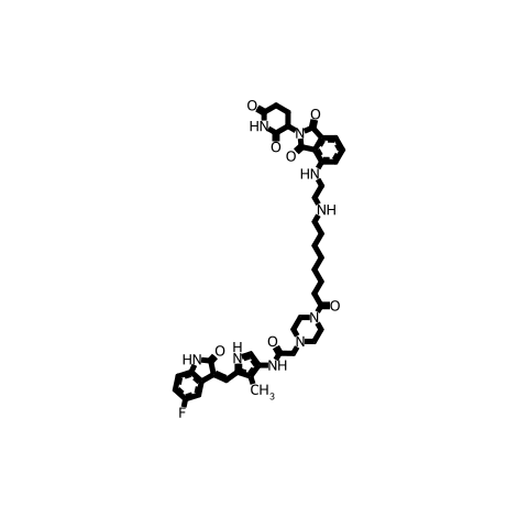 Cc1c(NC(=O)CN2CCN(C(=O)CCCCCCCNCCNc3cccc4c3C(=O)N(C3CCC(=O)NC3=O)C4=O)CC2)c[nH]c1/C=C1\C(=O)Nc2ccc(F)cc21